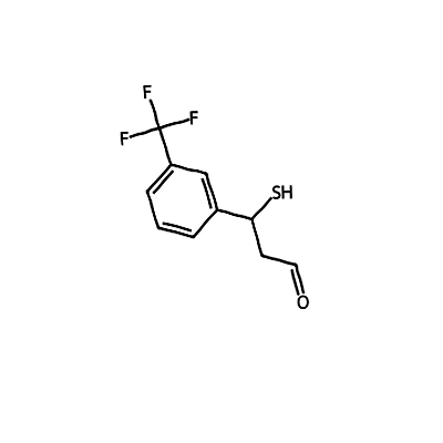 O=CCC(S)c1cccc(C(F)(F)F)c1